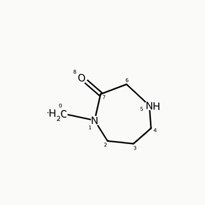 [CH2]N1CCCNCC1=O